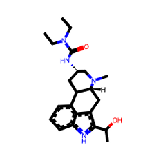 CCN(CC)C(=O)N[C@H]1CC2c3cccc4[nH]c(C(C)O)c(c34)C[C@H]2N(C)C1